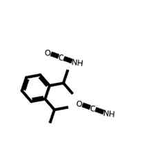 CC(C)c1ccccc1C(C)C.N=C=O.N=C=O